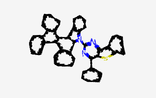 c1ccc(-c2nc(-n3c4ccccc4c4c5c6ccccc6c6ccccc6c5c5ccccc5c43)nc3c2sc2ccccc23)cc1